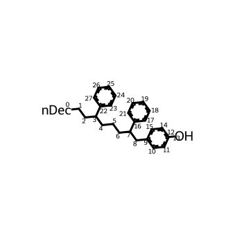 CCCCCCCCCCCCC(CCCC(Cc1ccc(O)cc1)c1ccccc1)c1ccccc1